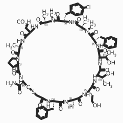 CC(C)[C@@H]1NC(=O)[C@H](Cc2ccccc2)NC(=O)CSC[C@@H](C(N)=O)NC(=O)[C@@H]2CCCN2C(=O)[C@H](C)NC(=O)C(CC(=O)O)NC(=O)[C@H](C)N(C)C(=O)[C@H](Cc2ccc(Cl)cc2)NC(=O)[C@H](C)N(C)C(=O)[C@H](Cc2ccccc2)NC(=O)[C@H]([C@@H](C)O)NC(=O)[C@H]([C@@H](C)O)NC(=O)[C@H](CCO)NC1=O